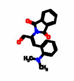 CN(C)c1ccccc1/C=C(/C=O)N1C(=O)c2ccccc2C1=O